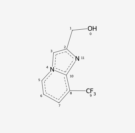 OCc1cn2cccc(C(F)(F)F)c2n1